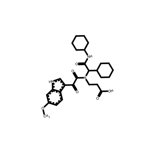 COc1ccc2c(C(=O)C(=O)N(CCC(=O)O)C(C(=O)NC3CCCCC3)C3CCCCC3)c[nH]c2c1